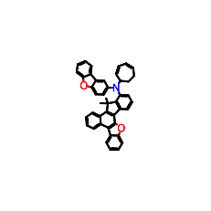 CC1(C)c2c(cccc2N(c2ccc3oc4ccccc4c3c2)C2C=CC=CCC2)-c2c1c1ccccc1c1c2oc2ccccc21